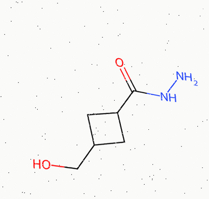 NNC(=O)C1CC(CO)C1